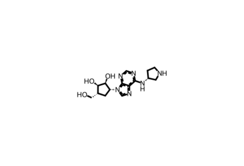 OC[C@H]1C[C@@H](n2cnc3c(N[C@@H]4CCNC4)ncnc32)[C@H](O)[C@@H]1O